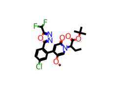 CCC(C(=O)OC(C)(C)C)n1cc(OC)c(-c2cc(Cl)ccc2-c2nnc(C(F)F)o2)cc1=O